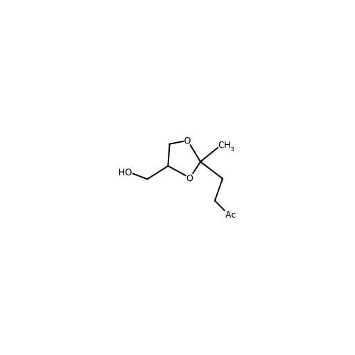 CC(=O)CCC1(C)OCC(CO)O1